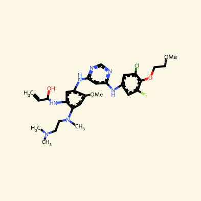 C=CC(O)Nc1cc(Nc2cc(Nc3cc(F)c(OCCOC)c(Cl)c3)ncn2)c(OC)cc1N(C)CCN(C)C